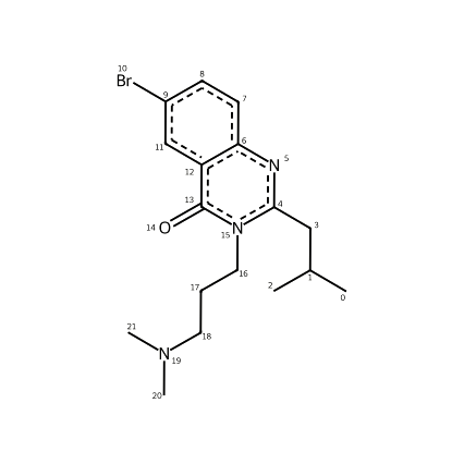 CC(C)Cc1nc2ccc(Br)cc2c(=O)n1CCCN(C)C